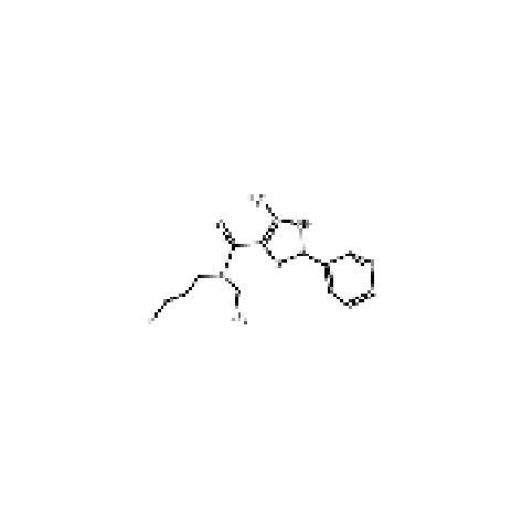 CC1=C(C(=O)N(CCCF)CC(F)(F)F)SC(c2cccnc2)N1